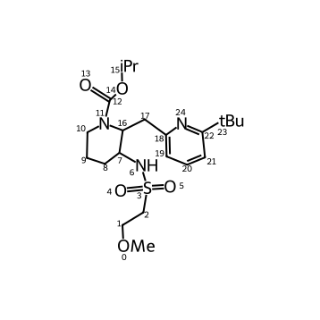 COCCS(=O)(=O)NC1CCCN(C(=O)OC(C)C)C1Cc1cccc(C(C)(C)C)n1